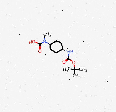 CN(C(=O)O)[C@H]1CC[C@H](NC(=O)OC(C)(C)C)CC1